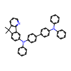 CC1(C)c2ccc(N(c3ccccc3)c3ccc(-c4ccc(N(c5ccccc5)c5ccccc5)cc4)cc3)cc2-c2ncccc21